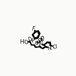 O=C(O)CCCc1cc2nc(Cl)ccc2n1S(=O)(=O)c1ccc(F)cc1F